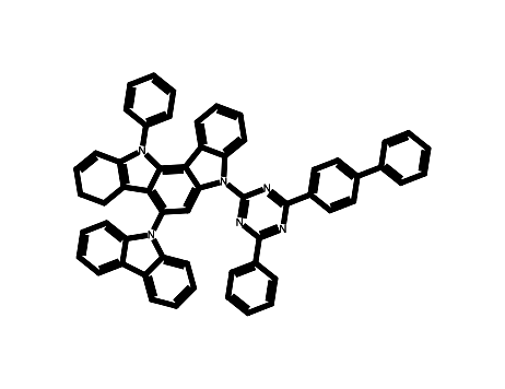 C1=Cc2c(c3c(-n4c5ccccc5c5ccccc54)cc4c(c5ccccc5n4-c4nc(-c5ccccc5)nc(-c5ccc(-c6ccccc6)cc5)n4)c3n2-c2ccccc2)CC1